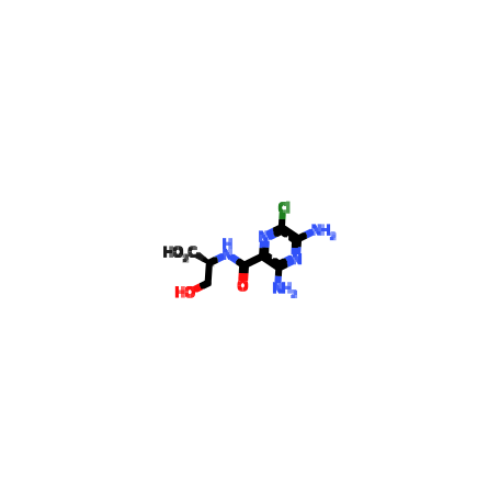 Nc1nc(N)c(C(=O)N[C@@H](CO)C(=O)O)nc1Cl